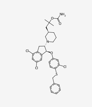 CC(C)(C[C@H]1CCCN([C@H]2Cc3c(Cl)cc(Cl)cc3[C@@H]2Oc2ccc(SCc3ccccc3)c(Cl)c2)C1)OC(N)=O